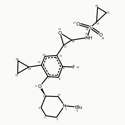 CC(C)(C)N1CCC[C@@H](Oc2cc(F)c(C3OC3NS(=O)(=O)C3CC3)cc2C2CC2)C1